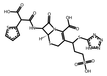 O=C(O)C1=C(C(CCS(=O)(=O)O)Sc2nnn[nH]2)CS[C@H]2C(NC(=O)C(C(=O)O)c3cccs3)C(=O)N12